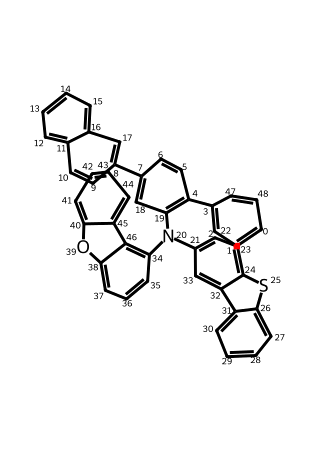 c1ccc(-c2ccc(-c3ccc4ccccc4c3)cc2N(c2ccc3sc4ccccc4c3c2)c2cccc3oc4ccccc4c23)cc1